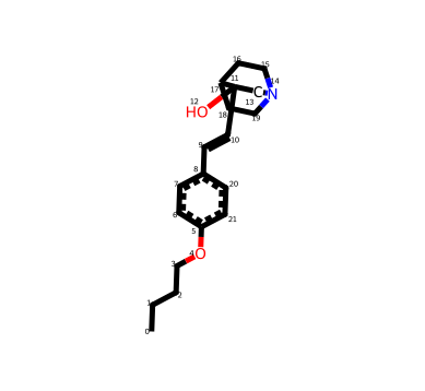 CCCCOc1ccc(/C=C/C2(O)CN3CCC2CC3)cc1